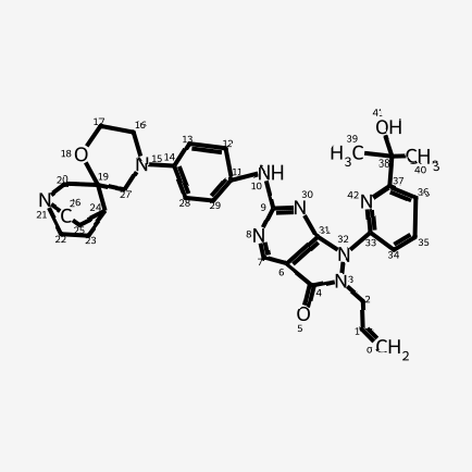 C=CCn1c(=O)c2cnc(Nc3ccc(N4CCOC5(CN6CCC5CC6)C4)cc3)nc2n1-c1cccc(C(C)(C)O)n1